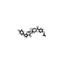 O=C(c1ccc(OC2CC2)cc1)N1CCC(O)(Cn2cnc3c(cnn3-c3ccc(F)cc3)c2=O)CC1